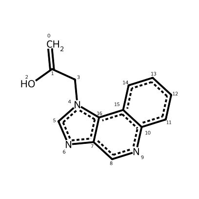 C=C(O)Cn1cnc2cnc3ccccc3c21